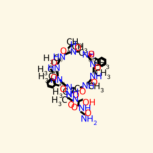 CC(C)C[C@@H]1NC(=O)CNC(=O)[C@H](Cc2ccccc2)N(C)C(=O)[C@H](C)NC(=O)[C@H](C)NC(=O)C[C@@H](C(=O)N(C)C(C)C(=O)NC(CO)C(=O)NCC(N)=O)NC(=O)[C@H](Cc2ccccc2)NC(=O)[C@H](C(C)C)NC(=O)[C@H](C)NC1=O